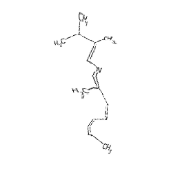 C\C=C/C=C\C(C)=N\C=C(/C)C(C)C